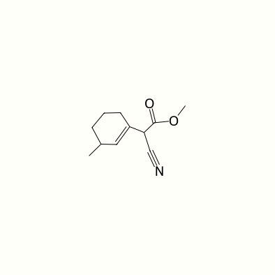 COC(=O)C(C#N)C1=CC(C)CCC1